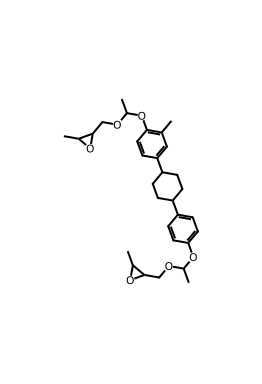 Cc1cc(C2CCC(c3ccc(OC(C)OCC4OC4C)cc3)CC2)ccc1OC(C)OCC1OC1C